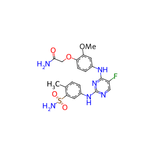 COc1cc(Nc2nc(Nc3ccc(C)c(S(N)(=O)=O)c3)ncc2F)ccc1OCC(N)=O